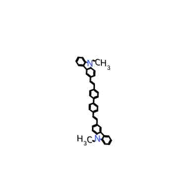 CCN1c2ccccc2C2C=C(/C=C/c3ccc(-c4ccc(/C=C/c5ccc6c(c5)c5ccccc5n6CC)cc4)cc3)C=CC21